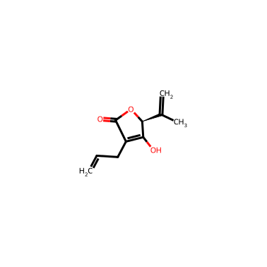 C=CCC1=C(O)[C@H](C(=C)C)OC1=O